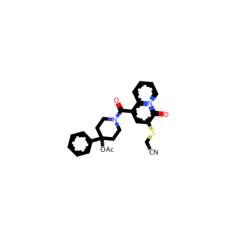 CC(=O)OC1(c2ccccc2)CCN(C(=O)c2cc(SCC#N)c(=O)n3ccccc23)CC1